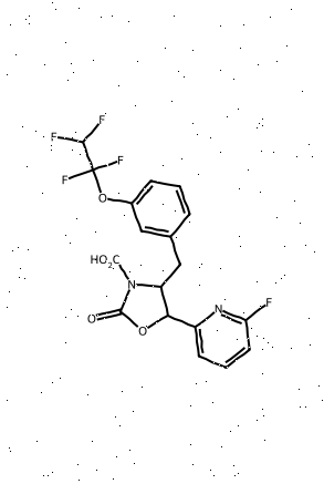 O=C(O)N1C(=O)OC(c2cccc(F)n2)C1Cc1cccc(OC(F)(F)C(F)F)c1